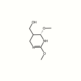 COC1=NCC(CO)[C@H](OC)N1